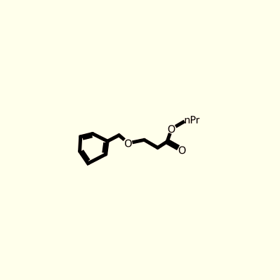 CCCOC(=O)CCOCc1ccccc1